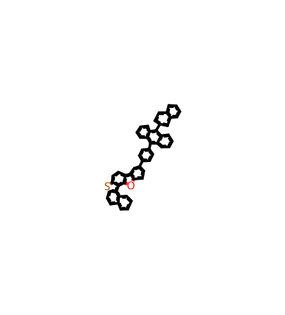 c1ccc2cc(-c3c4ccccc4c(-c4ccc(-c5ccc6oc7c(ccc8sc9ccc%10ccccc%10c9c87)c6c5)cc4)c4ccccc34)ccc2c1